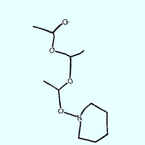 CC([O])OC(C)OC(C)ON1CCCCC1